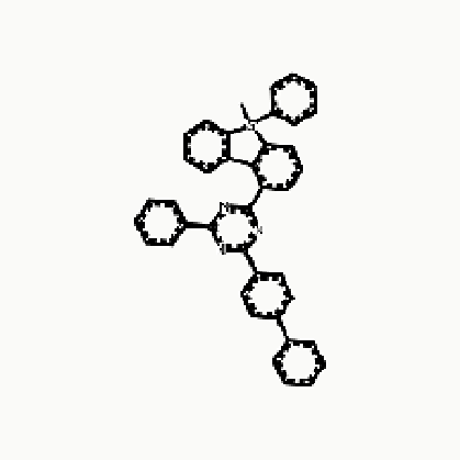 CS1(c2ccccc2)c2ccccc2-c2c(-c3nc(-c4ccccc4)nc(-c4ccc(-c5ccccc5)cc4)n3)cccc21